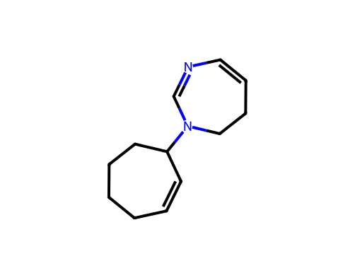 C1=C[C](N2C=NC=CCC2)CCCC1